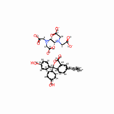 O=C([O-])CN(CCN(CC(=O)[O-])CC(=O)[O-])CC(=O)[O-].O=C1OC(c2ccc(O)cc2)(c2ccc(O)cc2)c2ccccc21.[Na+].[Na+].[Na+].[Na+]